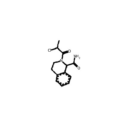 CC(Cl)C(=O)N1CCc2c[c]ccc2C1C(N)=O